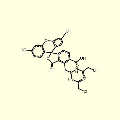 O=C(CCl)NN(Cc1c(C(=O)O)ccc2c1C(=O)OC21c2ccc(O)cc2Oc2cc(O)ccc21)NC(=O)CCl